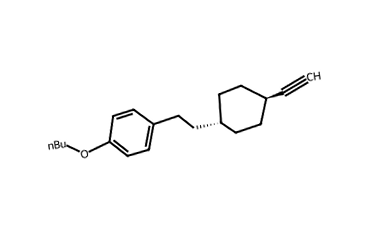 C#C[C@H]1CC[C@H](CCc2ccc(OCCCC)cc2)CC1